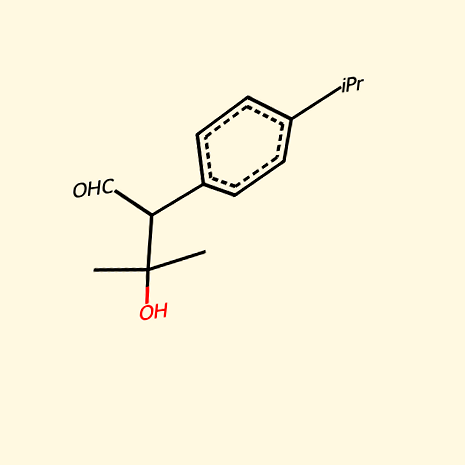 CC(C)c1ccc(C(C=O)C(C)(C)O)cc1